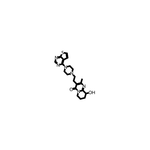 Cc1nc2n(c(=O)c1CCN1CCN(c3ncnc4sccc34)CC1)CCCC2O